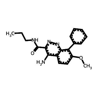 CCCNC(=O)c1nnc2c(-c3ccccc3)c(OC)ccc2c1N